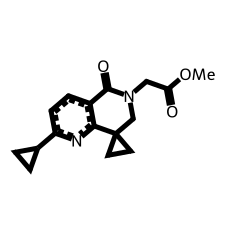 COC(=O)CN1CC2(CC2)c2nc(C3CC3)ccc2C1=O